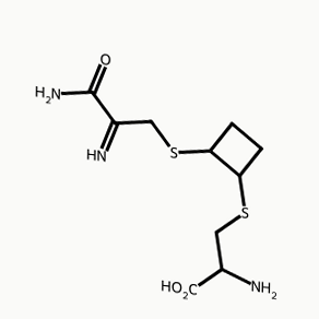 N=C(CSC1CCC1SCC(N)C(=O)O)C(N)=O